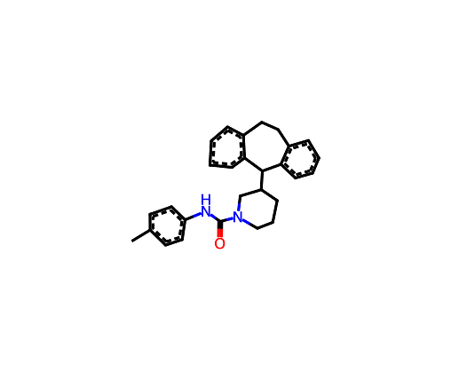 Cc1ccc(NC(=O)N2CCCC(C3c4ccccc4CCc4ccccc43)C2)cc1